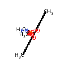 CCCCCCCCCCCCCCCC(=O)OCC(COC(=O)CCCCCCCCCCCCCCC)OP(=O)(OCCNCC)OOC